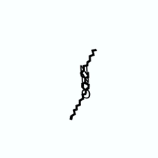 C=CCCCCCCCCOc1ccc(N2CCN(CCCCCCCC)CC2)cc1